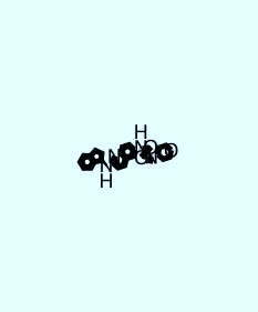 CN(C1CCOCC1)S(=O)(=O)Nc1ccc2nc(N[C@@H]3CCc4ccccc43)ccc2c1